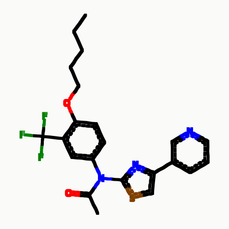 CCCCCOc1ccc(N(C(C)=O)c2nc(-c3cccnc3)cs2)cc1C(F)(F)F